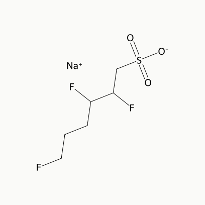 O=S(=O)([O-])CC(F)C(F)CCCF.[Na+]